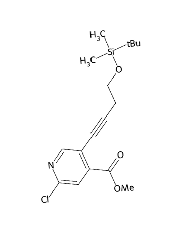 COC(=O)c1cc(Cl)ncc1C#CCCO[Si](C)(C)C(C)(C)C